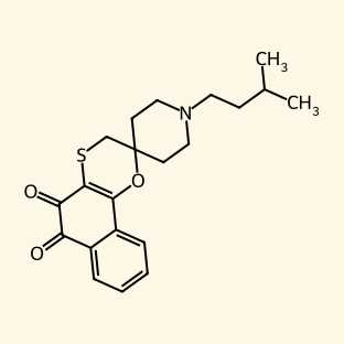 CC(C)CCN1CCC2(CC1)CSC1=C(O2)c2ccccc2C(=O)C1=O